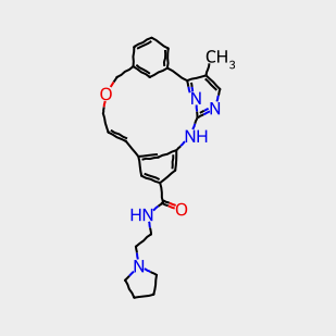 Cc1cnc2nc1-c1cccc(c1)COC/C=C/c1cc(cc(C(=O)NCCN3CCCC3)c1)N2